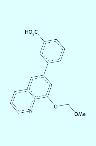 COCOc1cc(-c2cccc(C(=O)O)c2)cc2cccnc12